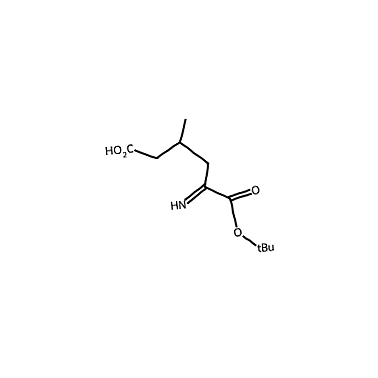 CC(CC(=N)C(=O)OC(C)(C)C)CC(=O)O